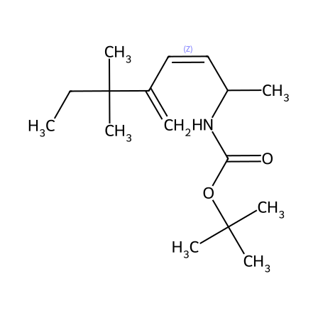 C=C(/C=C\C(C)NC(=O)OC(C)(C)C)C(C)(C)CC